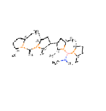 C=C(P1[C@H](CC)CC[C@H]1CC)P1[C@H](CC)CC(C2C[C@@H](CC)P(B(N(C)C)P3[C@H](CC)CC[C@H]3CC)[C@@H]2CC)[C@H]1CC